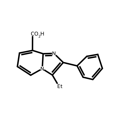 CCc1c(-c2ccccc2)nc2c(C(=O)O)cccn12